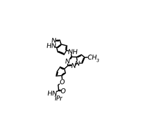 Cc1cc2c(Nc3ccc4[nH]ncc4c3)nc(-c3cccc(OCC(=O)NC(C)C)c3)nn2c1